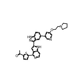 CC(=O)c1ccc(-c2nccc3[nH]c(-c4n[nH]c5ccc(-c6cncc(OCCN7CCCC7)c6)cc45)cc23)s1